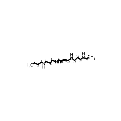 CCCCNCCCNCC=CCNCCCNCC